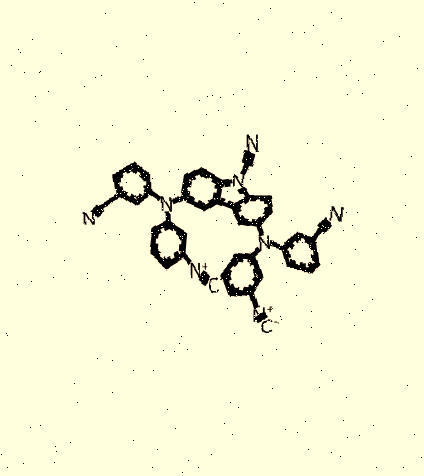 [C-]#[N+]c1cccc(N(c2cccc(C#N)c2)c2ccc3c(c2)c2cc(N(c4cccc(C#N)c4)c4cccc([N+]#[C-])c4)ccc2n3C#N)c1